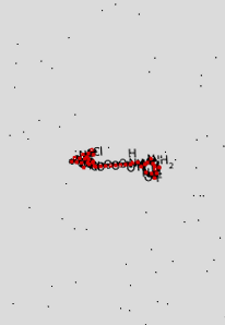 CCOc1cc(C(C)(C)C)ccc1C1=N[C@@](C)(c2ccc(Cl)cc2)[C@@](C)(c2ccc(Cl)cc2)N1C(=O)N1CCN(CCOCCOCCOCCOCCC(=O)NCCn2nc3c(c2C)-c2cnc(N)c(c2)N2CCC[C@@H]2c2cc(F)ccc2C(=O)N(C)C3)CC1